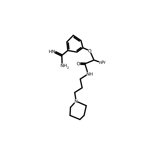 CCCC(Oc1cccc(C(=N)N)c1)C(=O)NCCCN1CCCCC1